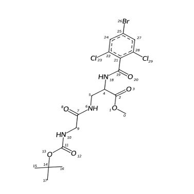 COC(=O)C(CNC(=O)CNC(=O)OC(C)(C)C)NC(=O)c1c(Cl)cc(Br)cc1Cl